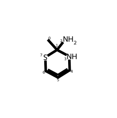 CC1(N)NC=C=CS1